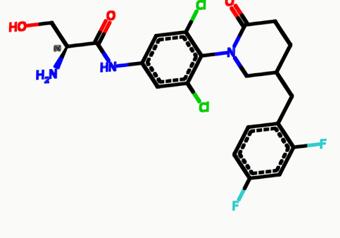 N[C@@H](CO)C(=O)Nc1cc(Cl)c(N2CC(Cc3ccc(F)cc3F)CCC2=O)c(Cl)c1